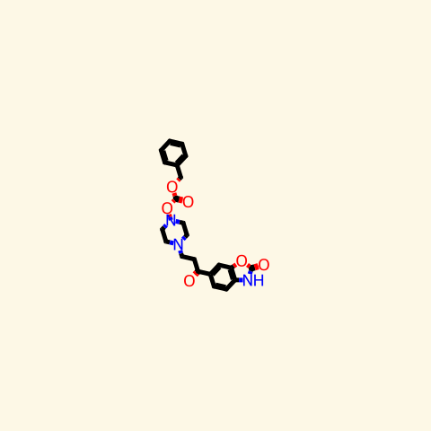 O=C(OCc1ccccc1)ON1CCN(CCC(=O)c2ccc3[nH]c(=O)oc3c2)CC1